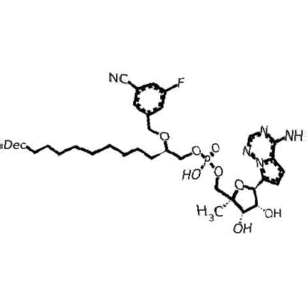 CCCCCCCCCCCCCCCCCCC[C@H](COP(=O)(O)OC[C@@]1(C)O[C@@H](c2ccc3c(N)ncnn23)[C@H](O)[C@@H]1O)OCc1cc(F)cc(C#N)c1